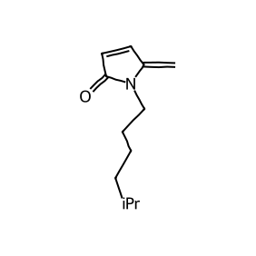 C=C1C=CC(=O)N1CCCCC(C)C